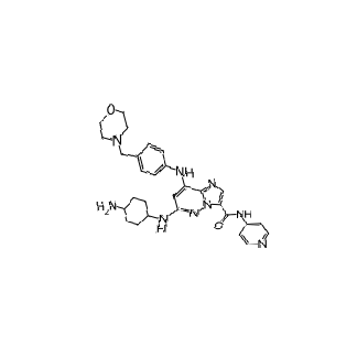 NC1CCC(Nc2cc(Nc3ccc(CN4CCOCC4)cc3)c3ncc(C(=O)Nc4ccncc4)n3n2)CC1